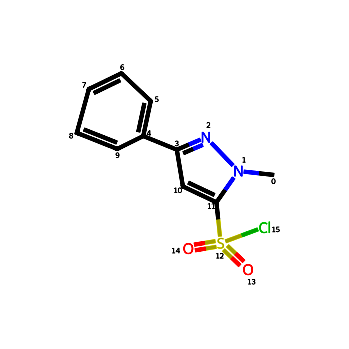 Cn1nc(-c2ccccc2)cc1S(=O)(=O)Cl